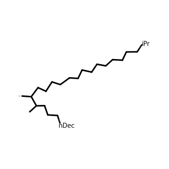 [CH2]C(CCCCCCCCCCCCCCC(C)C)C(C)CCCCCCCCCCCCC